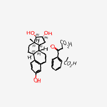 CC(=O)O.C[C@]12CC[C@@H]3c4ccc(O)cc4CC[C@H]3[C@@H]1C[C@@H](O)[C@@H]2O.O=C(O)CC(=O)c1ccccc1